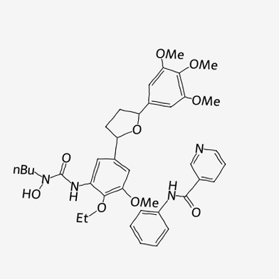 CCCCN(O)C(=O)Nc1cc(C2CCC(c3cc(OC)c(OC)c(OC)c3)O2)cc(OC)c1OCC.O=C(Nc1ccccc1)c1cccnc1